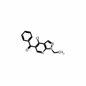 CCn1ncc2c(Cl)c(C(=O)c3ccccc3)cnc21